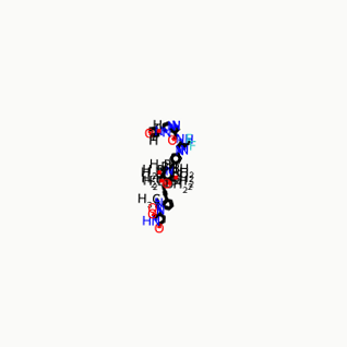 BC(B)(C1CCC(n2cc(NC(=O)c3cnn4ccc(N5C[C@H]6C[C@@H]5CO6)nc34)c(C(F)F)n2)CC1)N1C(B)(B)C(B)(B)C(B)(OCC#Cc2cccc3c2n(C)c(=O)n3C2CCC(=O)NC2=O)C(B)(B)C1(B)B